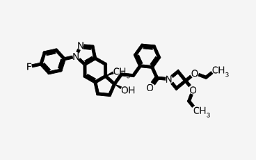 CCOC1(OCC)CN(C(=O)c2ccccc2CC[C@]2(O)CCC3=Cc4c(cnn4-c4ccc(F)cc4)C[C@@]32C)C1